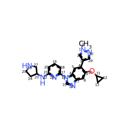 Cn1cc(-c2cc3c(cc2OC2CC2)ncn3-c2cccc(NC3CCNC3)n2)cn1